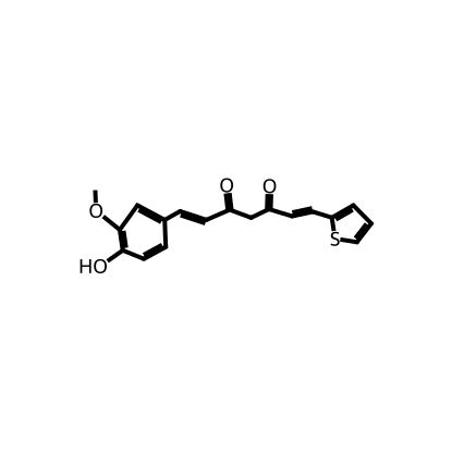 COc1cc(C=CC(=O)CC(=O)C=Cc2cccs2)ccc1O